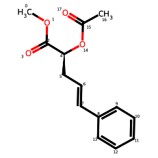 COC(=O)[C@H](C/C=C/c1ccccc1)OC(C)=O